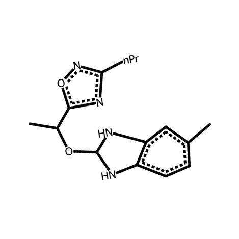 CCCc1noc(C(C)OC2Nc3ccc(C)cc3N2)n1